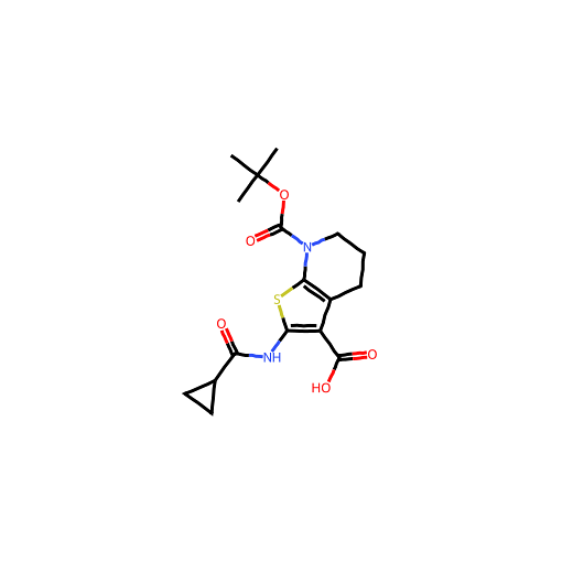 CC(C)(C)OC(=O)N1CCCc2c1sc(NC(=O)C1CC1)c2C(=O)O